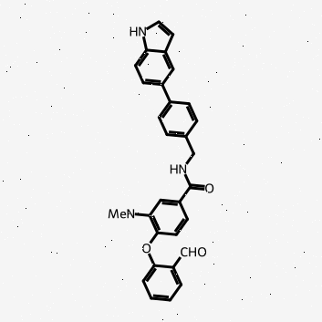 CNc1cc(C(=O)NCc2ccc(-c3ccc4[nH]ccc4c3)cc2)ccc1Oc1ccccc1C=O